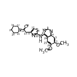 COc1cc2ncnc(Nc3nc(CC(=O)N4CCCCC4)cs3)c2cc1OC